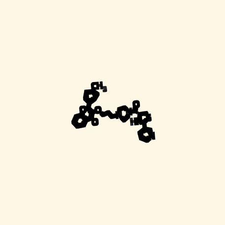 Cc1ccc(-c2oc3ccccc3c(=O)c2OCCCN2CCN(C(=O)[C@@H]3CSC(c4cccnc4)N3)CC2)cc1